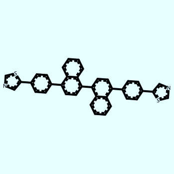 c1ccc2c(-c3ccc(-c4ccc(-c5cncs5)cc4)c4ccccc34)ccc(-c3ccc(-c4cncs4)cc3)c2c1